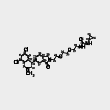 CN1Cc2c(Cl)cc(Cl)cc2C(c2ccc3c(c2)C(=O)N(CCOCCOCCNC(=O)NC2CC2)C3)C1